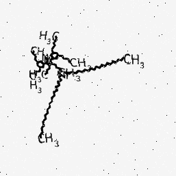 CCCCCCCCCCCCCCCCCCCCC[CH2][Ni][CH2]CCCCCCCCCCCCCCCCCCCCC.CCCCCc1cc(CCCCC)cc(C2=C(CCCC)C(CCCC)=C(c3cc(CCCC)cc(CCCC)c3)[N+]2=[N-])c1